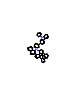 c1ccc(-n2c3ccccc3c3ccc(-c4cccc(N(c5ccc6c(c5)C5(c7ccccc7-c7ccccc75)c5ccccc5-6)c5cccc6ccccc56)c4)cc32)cc1